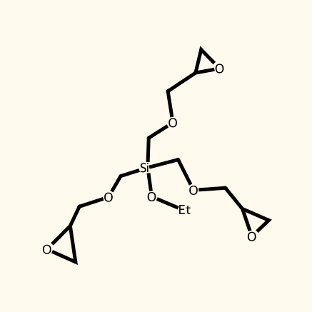 CCO[Si](COCC1CO1)(COCC1CO1)COCC1CO1